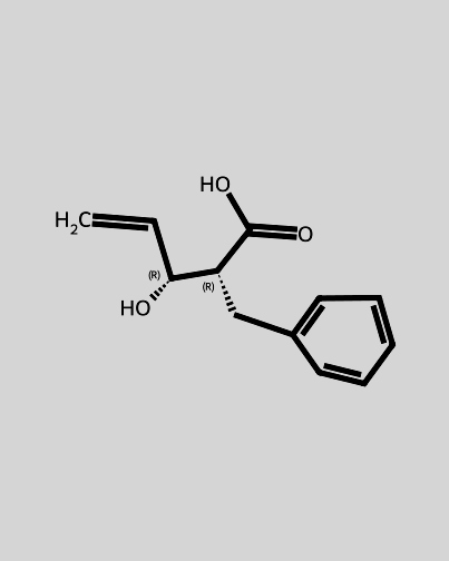 C=C[C@@H](O)[C@@H](Cc1ccccc1)C(=O)O